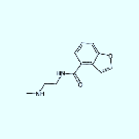 CNCCNC(=O)c1cccc2occc12